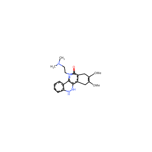 COC1=C(OC)Cc2c(c3c(n(CCN(C)C)c2=O)-c2ccccc2NN3)C1